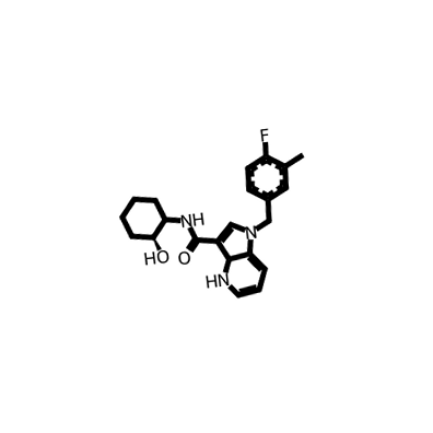 Cc1cc(CN2C=C(C(=O)NC3CCCC[C@@H]3O)C3NC=CC=C32)ccc1F